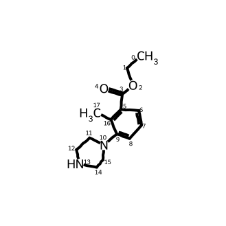 CCOC(=O)c1cccc(N2CCNCC2)c1C